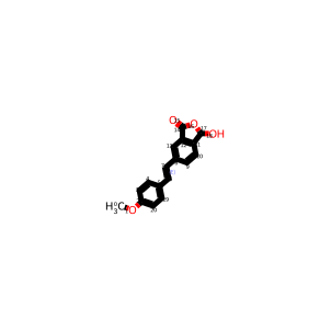 COc1ccc(/C=C/c2ccc3c(c2)C(=O)OC3O)cc1